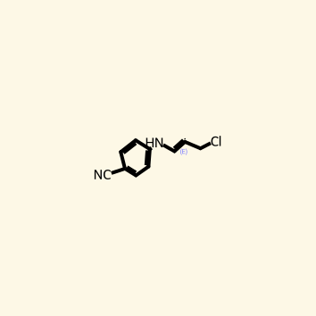 N#Cc1ccc(N/C=[C]/CCl)cc1